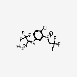 N/C(=N/c1ccc(Cl)c([S+]([O-])CC(F)(F)F)c1)C(F)(F)F